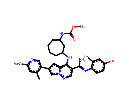 CCc1cc(O)ccc1/N=C(\N)c1cnn2cc(-c3cnc(OC)cc3C)cc2c1NC1CCCCC(NC(=O)OC(C)(C)C)C1